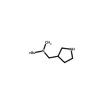 CCCCN(C)CC1CCNC1